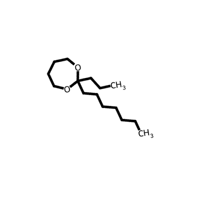 CCCCCCCC1(CCC)OCCCCO1